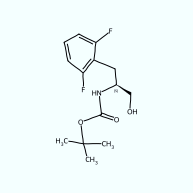 CC(C)(C)OC(=O)N[C@H](CO)Cc1c(F)cccc1F